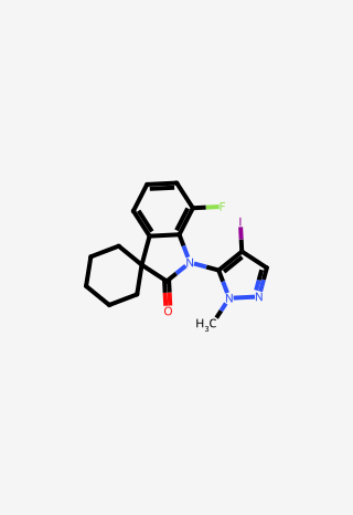 Cn1ncc(I)c1N1C(=O)C2(CCCCC2)c2cccc(F)c21